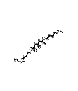 CCCCCOC(=O)CC(=O)CC(=O)OCCCCC